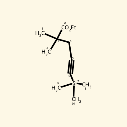 CCOC(=O)C(C)(C)CC#C[Si](C)(C)C